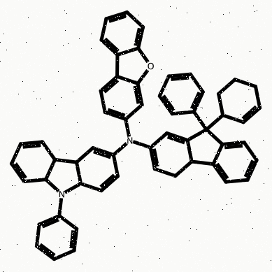 C1=CC2C3C=C(N(C4=CCC5C(=C4)C(c4ccccc4)(C4C=CCCC4)c4ccccc45)c4ccc5c(c4)oc4ccccc45)C=CC3N(c3ccccc3)C2C=C1